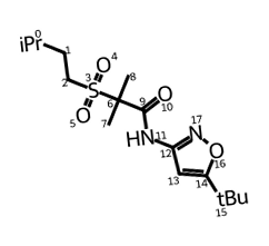 CC(C)CCS(=O)(=O)C(C)(C)C(=O)Nc1cc(C(C)(C)C)on1